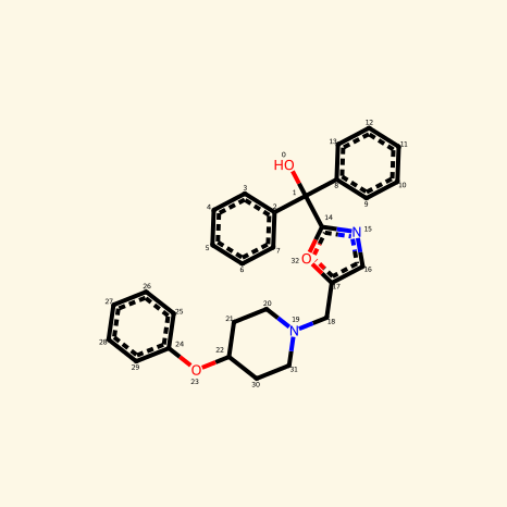 OC(c1ccccc1)(c1ccccc1)c1ncc(CN2CCC(Oc3ccccc3)CC2)o1